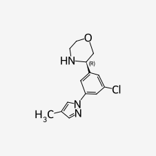 Cc1cnn(-c2cc(Cl)cc([C@@H]3COCCN3)c2)c1